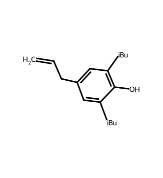 C=CCc1cc(C(C)CC)c(O)c(C(C)CC)c1